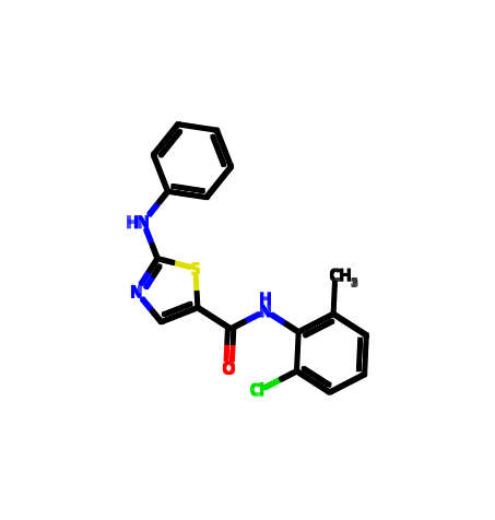 Cc1cccc(Cl)c1NC(=O)c1cnc(Nc2ccccc2)s1